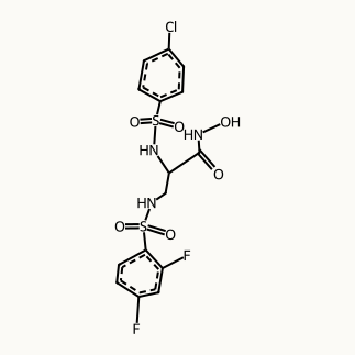 O=C(NO)C(CNS(=O)(=O)c1ccc(F)cc1F)NS(=O)(=O)c1ccc(Cl)cc1